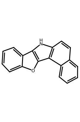 c1ccc2c(c1)ccc1[nH]c3c4ccccc4oc3c12